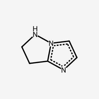 c1cn2c(n1)CCN2